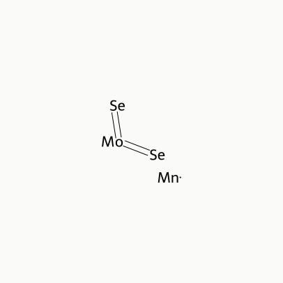 [Mn].[Se]=[Mo]=[Se]